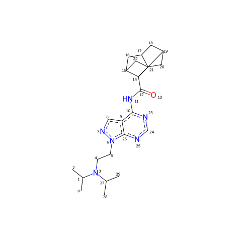 CC(C)N(CCn1ncc2c(NC(=O)C34C5CC6CC3CC64C5)ncnc21)C(C)C